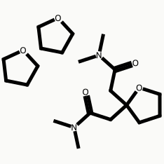 C1CCOC1.C1CCOC1.CN(C)C(=O)CC1(CC(=O)N(C)C)CCCO1